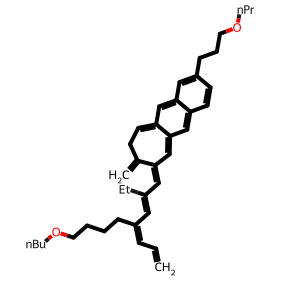 C=C\C=C(/C=C(/C=C1/C=c2cc3ccc(CCCOCCC)cc3cc2=CCC1=C)CC)CCCCOCCCC